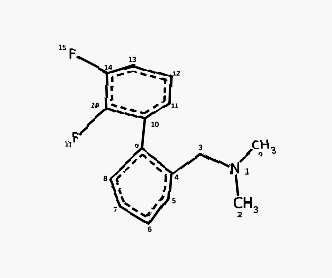 CN(C)Cc1ccccc1-c1cccc(F)c1F